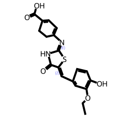 CCOc1cc(/C=C2\S/C(=N/C3=CC=C(C(=O)O)CC3)NC2=O)ccc1O